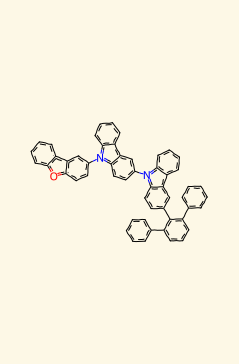 c1ccc(-c2cccc(-c3ccccc3)c2-c2ccc3c(c2)c2ccccc2n3-c2ccc3c(c2)c2ccccc2n3-c2ccc3oc4ccccc4c3c2)cc1